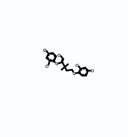 CC(C)(CCOc1ccc(Cl)cc1Cl)C(=CCl)Oc1ccc(Cl)cc1Cl